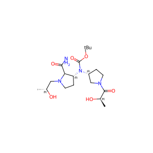 C[C@@H](O)CN1CC[C@@H](N(C(=O)OC(C)(C)C)[C@@H]2CCN(C(=O)[C@@H](C)O)C2)C1C(N)=O